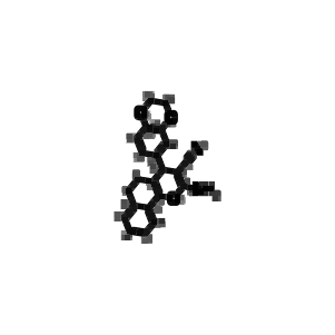 N#CC1=C(N)OC2=C(CCc3ccccc32)C1c1ccc2c(c1)OCCO2